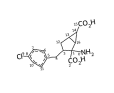 NC1(C(=O)O)C(Cc2ccc(Cl)cc2)CC2C(C(=O)O)C21